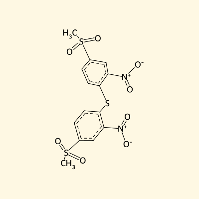 CS(=O)(=O)c1ccc(Sc2ccc(S(C)(=O)=O)cc2[N+](=O)[O-])c([N+](=O)[O-])c1